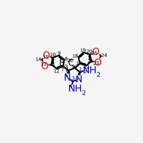 NC1=NC(N)N=C(c2ccc3c(c2)OCO3)C1(c1ccc2c(c1)OCO2)C(F)(F)F